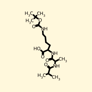 CC(C)C(=O)NC(C)C(=O)NC(CCCCNC(=O)OC(C)(C)C)C(=O)O